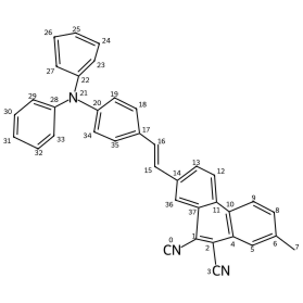 [C-]#[N+]c1c(C#N)c2cc(C)ccc2c2ccc(C=Cc3ccc(N(c4ccccc4)c4ccccc4)cc3)cc12